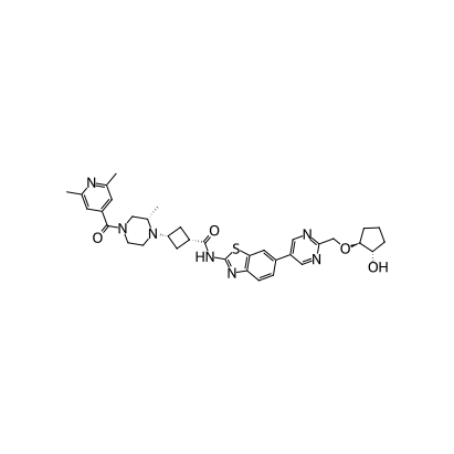 Cc1cc(C(=O)N2CCN([C@H]3C[C@@H](C(=O)Nc4nc5ccc(-c6cnc(CO[C@H]7CCC[C@@H]7O)nc6)cc5s4)C3)[C@@H](C)C2)cc(C)n1